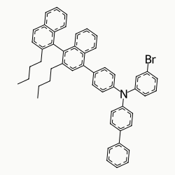 CCCCc1ccc2ccccc2c1-c1c(CCCC)cc(-c2ccc(N(c3ccc(-c4ccccc4)cc3)c3cccc(Br)c3)cc2)c2ccccc12